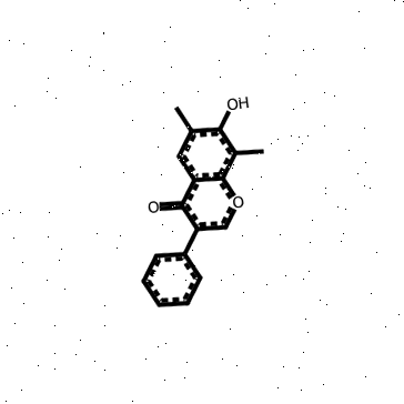 Cc1cc2c(=O)c(-c3ccccc3)coc2c(C)c1O